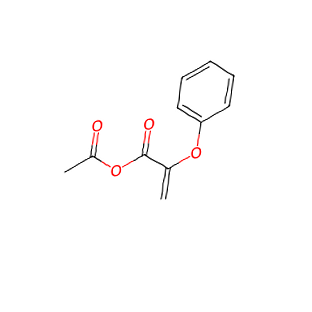 C=C(Oc1ccccc1)C(=O)OC(C)=O